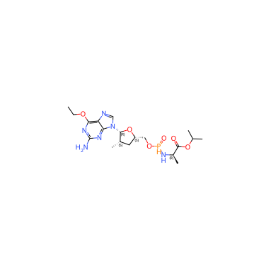 CCOc1nc(N)nc2c1ncn2[C@@H]1O[C@H](CO[PH](=O)N[C@H](C)C(=O)OC(C)C)C[C@@H]1C